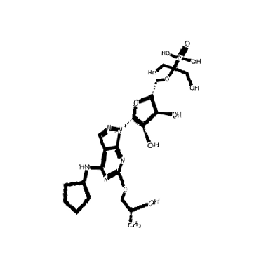 C[C@H](O)COc1nc(NC2CCCC2)c2cnn([C@@H]3O[C@H](COC(CO)(CO)P(=O)(O)O)[C@@H](O)[C@H]3O)c2n1